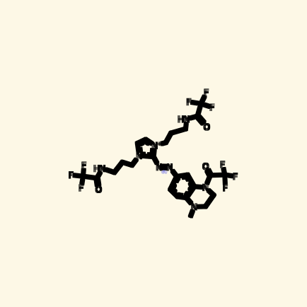 CN1CCN(C(=O)C(F)(F)F)c2cc(/N=N/c3n(CCCNC(=O)C(F)(F)F)cc[n+]3CCCNC(=O)C(F)(F)F)ccc21